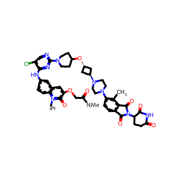 CNC(=O)COc1cc2cc(Nc3nc(N4CCC(O[C@H]5C[C@H](N6CCN(c7ccc8c(c7C)C(=O)N(C7CCC(=O)NC7=O)C8=O)CC6)C5)CC4)ncc3Cl)ccc2n(C(C)C)c1=O